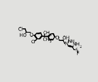 CC(C)(c1ccc(OCC(O)CN(N)/C=C(\N)CSF)cc1)c1ccc(OCC(O)CCl)c(Cl)c1